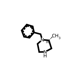 C[C@@H]1CNCCN1Cc1ccccc1